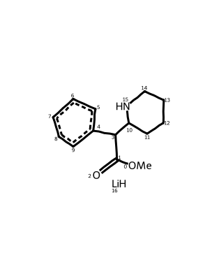 COC(=O)C(c1ccccc1)C1CCCCN1.[LiH]